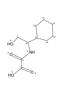 O=C(O)C(=O)NC(CO)C1CCCCC1